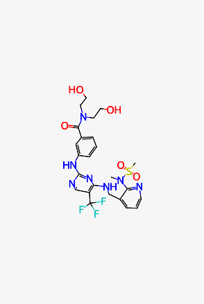 CN(c1ncccc1CNc1nc(Nc2cccc(C(=O)N(CCO)CCO)c2)ncc1C(F)(F)F)S(C)(=O)=O